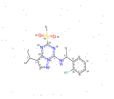 CC(C)c1cnn2c(NC(C)c3ccccc3F)nc(S(C)(=O)=O)nc12